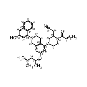 C=CC(=O)N1CCN(c2nc(OC(C)CN(C)C)nc3c2CCN(c2cc(O)cc4ccccc24)C3)CC1CC#N